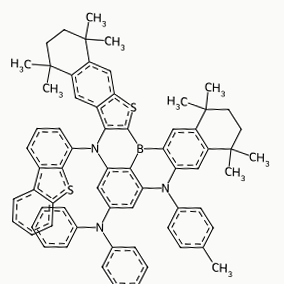 Cc1ccc(N2c3cc4c(cc3B3c5sc6cc7c(cc6c5N(c5cccc6c5sc5ccccc56)c5cc(N(c6ccccc6)c6ccccc6)cc2c53)C(C)(C)CCC7(C)C)C(C)(C)CCC4(C)C)cc1